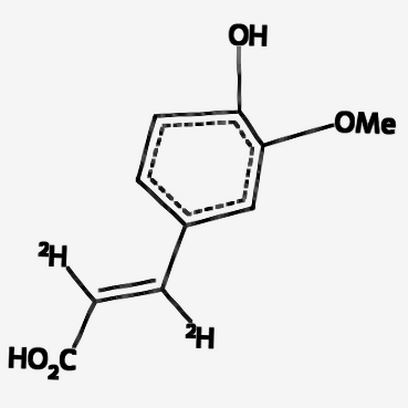 [2H]/C(C(=O)O)=C(/[2H])c1ccc(O)c(OC)c1